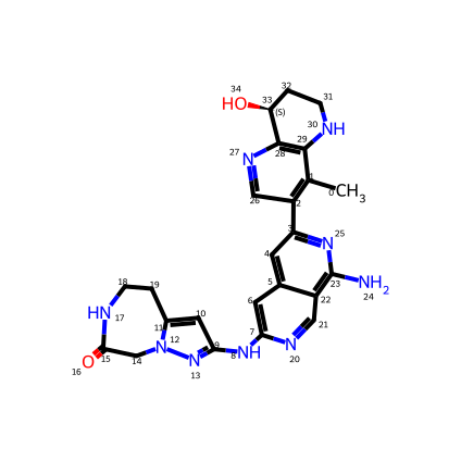 Cc1c(-c2cc3cc(Nc4cc5n(n4)CC(=O)NCC5)ncc3c(N)n2)cnc2c1NCC[C@@H]2O